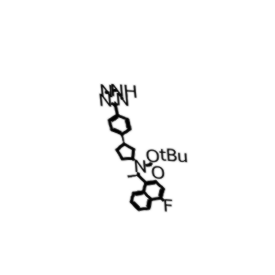 C[C@H](c1ccc(F)c2ccccc12)N(C(=O)OC(C)(C)C)C1CC[C@@H](c2ccc(-c3nn[nH]n3)cc2)C1